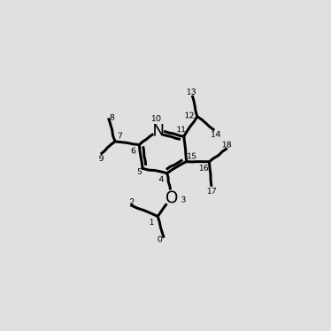 CC(C)Oc1cc(C(C)C)nc(C(C)C)c1C(C)C